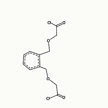 O=C(Cl)COCc1ccccc1COCC(=O)Cl